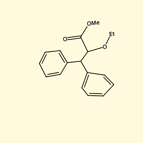 CCOC(C(=O)OC)C(c1ccccc1)c1ccccc1